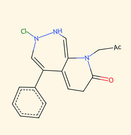 CC(=O)CN1C(=O)CC=C2C(c3ccccc3)=CN(Cl)NC=C21